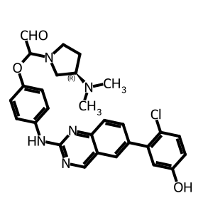 CN(C)[C@@H]1CCN(C(C=O)Oc2ccc(Nc3ncc4cc(-c5cc(O)ccc5Cl)ccc4n3)cc2)C1